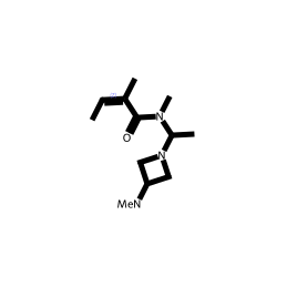 C/C=C(/C)C(=O)N(C)C(C)N1CC(NC)C1